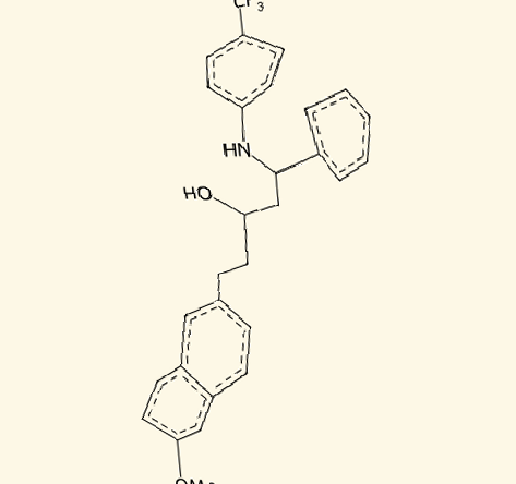 COc1ccc2cc(CCC(O)CC(Nc3ccc(C(F)(F)F)cc3)c3ccccc3)ccc2c1